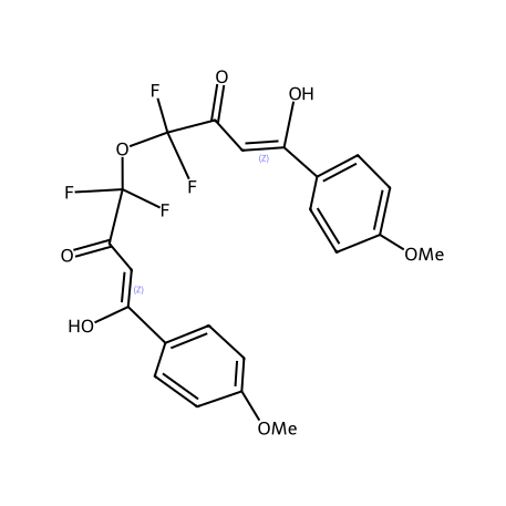 COc1ccc(/C(O)=C/C(=O)C(F)(F)OC(F)(F)C(=O)/C=C(\O)c2ccc(OC)cc2)cc1